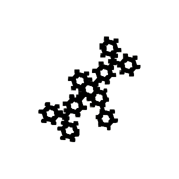 c1ccc(-c2ccc3c(-c4ccc(N(c5ccccc5)c5cccnc5)cc4)c4ccccc4c(-c4ccc(N(c5ccccc5)c5cccnc5)cc4)c3c2)cc1